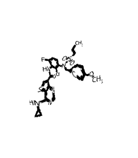 CCCS(=O)(=O)N(Cc1ccc(OC)cc1)c1ccc(F)c(NC(=O)c2csc3c(NC4CC4)ncnc23)c1Cl